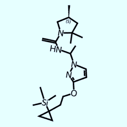 C=C(NC(C)n1ccc(OCCC2([Si](C)(C)C)CC2)n1)N1C[C@@H](C)CC1(C)C